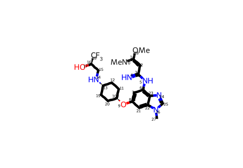 CN/C(=C\C(=N)Nc1cc(O[C@H]2CC[C@@H](NC[C@@H](O)C(F)(F)F)CC2)cc2c1ncn2C)OC